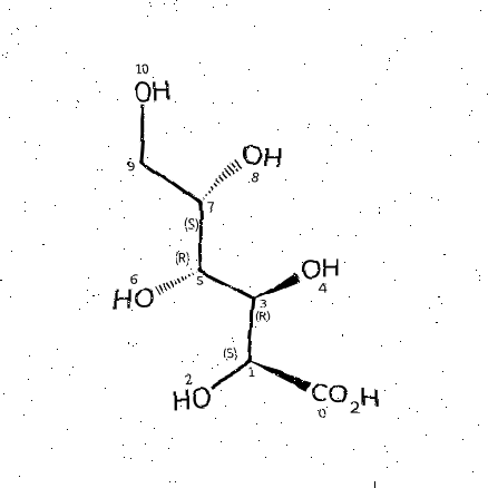 O=C(O)[C@@H](O)[C@H](O)[C@H](O)[C@@H](O)CO